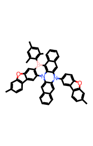 Cc1cc(C)c(B2c3cc4oc5cc(C)ccc5c4cc3N3c4cc5ccccc5cc4N(c4ccc5oc6cc(C)ccc6c5c4)c4cc5ccccc5c2c43)c(C)c1